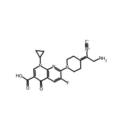 [C-]#[N+]C(CN)=C1CCN(c2nc3c(cc2F)c(=O)c(C(=O)O)cn3C2CC2)CC1